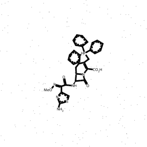 CO/N=C(/C(=O)N[C@@H]1C(=O)N2C(C(=O)O)=C(C[PH](c3ccccc3)(c3ccccc3)c3ccccc3)CCC12)c1csc(N)n1